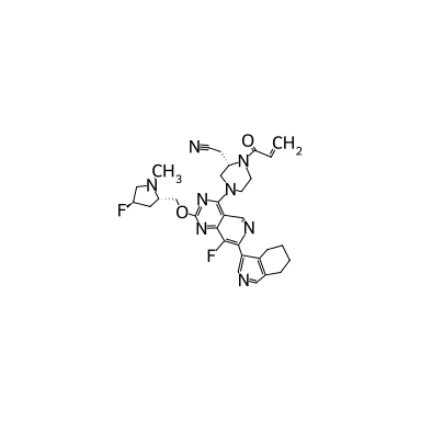 C=CC(=O)N1CCN(c2nc(OC[C@@H]3C[C@@H](F)CN3C)nc3c(F)c(-c4cncc5c4CCCC5)ncc23)C[C@@H]1CC#N